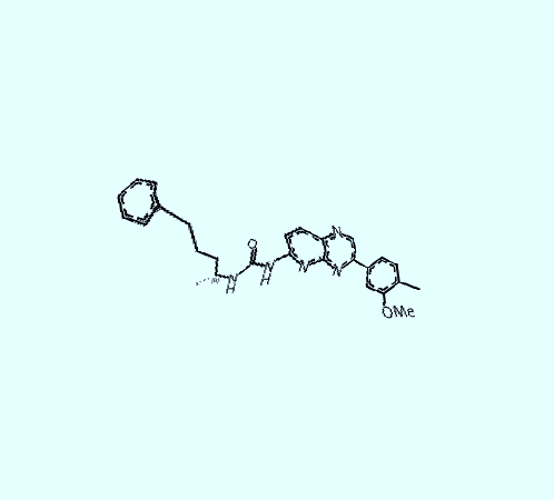 COc1cc(-c2cnc3ccc(NC(=O)N[C@H](C)CCCc4ccccc4)nc3n2)ccc1C